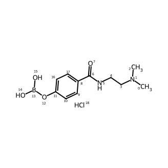 CN(C)CCNC(=O)c1ccc(OB(O)O)cc1.Cl